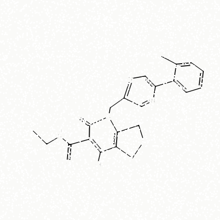 O=C(O)CNC(=O)c1c(O)c2c(n(Cc3cnc(-c4ccccc4F)cn3)c1=O)CSC2